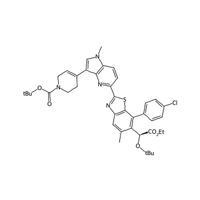 CCOC(=O)[C@@H](OC(C)(C)C)c1c(C)cc2nc(-c3ccc4c(n3)c(C3=CCN(C(=O)OC(C)(C)C)CC3)cn4C)sc2c1-c1ccc(Cl)cc1